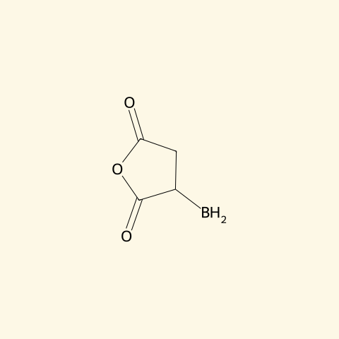 BC1CC(=O)OC1=O